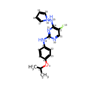 CC(C)Oc1ccc(Nc2ncc(F)c(Nn3cccc3)n2)cc1